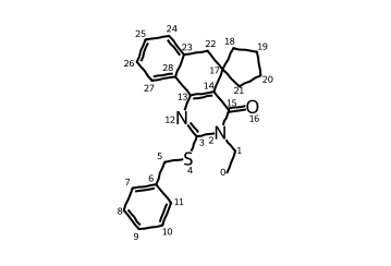 CCn1c(SCc2ccccc2)nc2c(c1=O)C1(CCCC1)Cc1ccccc1-2